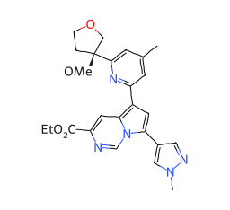 CCOC(=O)c1cc2c(-c3cc(C)cc([C@]4(OC)CCOC4)n3)cc(-c3cnn(C)c3)n2cn1